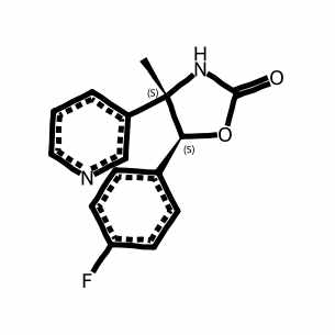 C[C@@]1(c2cccnc2)NC(=O)O[C@H]1c1ccc(F)cc1